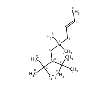 C/C=C/C[Si](C)(C)CN(C(C)(C)C)C(C)(C)C